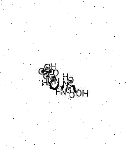 N=C(NS(=O)(=O)CC(=O)O)[C@@H]1CC[C@@H]2CN1C(=O)N2OS(=O)(=O)O